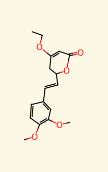 CCOC1=CC(=O)OC(/C=C/c2ccc(OC)c(OC)c2)C1